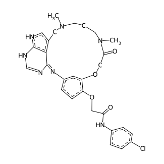 CN1CCCN(C)C(=O)COc2cc(ccc2OCC(=O)Nc2ccc(Cl)cc2)/N=C2/N=CNc3[nH]cc(c32)C1